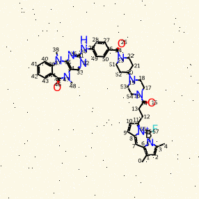 Cc1cc(C)n2c1C=C1C=CC(CCC(=O)N3CCN(C4CCN(C(=O)c5ccc(Nc6ncc7c(n6)N(C)c6ccccc6C(=O)N7C)cc5)CC4)CC3)=[N+]1B2F